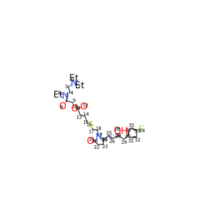 CCN(CC)CCN(CC)C(=O)COC(=O)CCCSCCN1C(=O)CC[C@@H]1/C=C/[C@@H](O)Cc1ccc(F)cc1